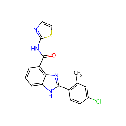 O=C(Nc1nccs1)c1cccc2[nH]c(-c3ccc(Cl)cc3C(F)(F)F)nc12